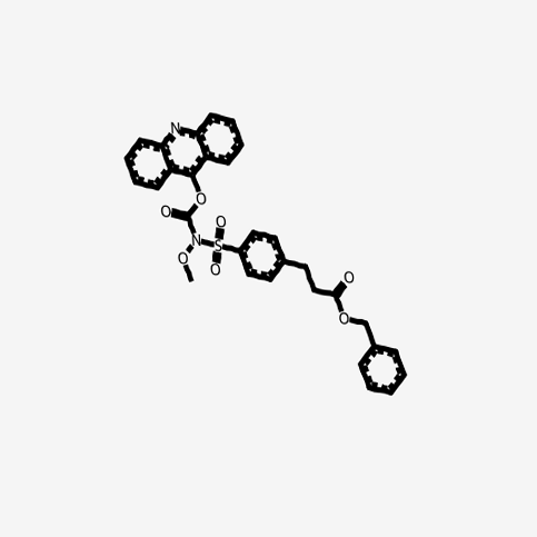 CON(C(=O)Oc1c2ccccc2nc2ccccc12)S(=O)(=O)c1ccc(CCC(=O)OCc2ccccc2)cc1